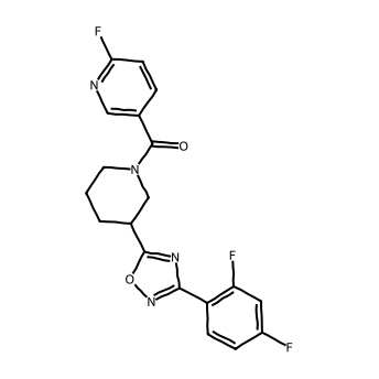 O=C(c1ccc(F)nc1)N1CCCC(c2nc(-c3ccc(F)cc3F)no2)C1